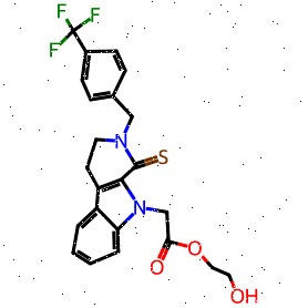 O=C(Cn1c2c(c3ccccc31)CCN(Cc1ccc(C(F)(F)F)cc1)C2=S)OCCO